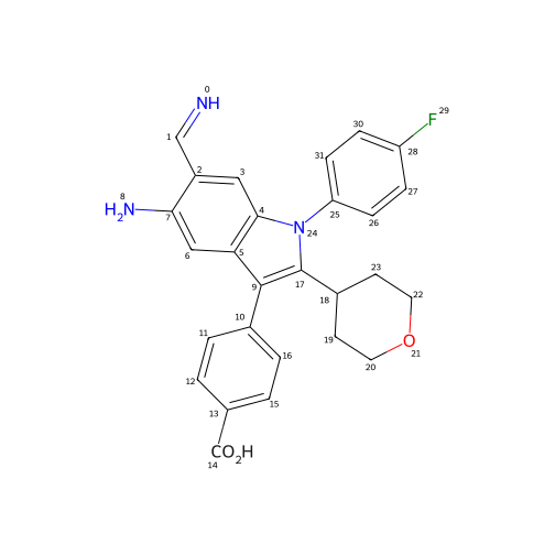 N=Cc1cc2c(cc1N)c(-c1ccc(C(=O)O)cc1)c(C1CCOCC1)n2-c1ccc(F)cc1